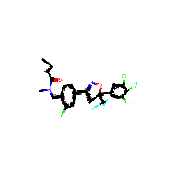 CCCC(=O)N(C)Cc1ccc(C2=NOC(c3cc(Cl)c(Cl)c(Cl)c3)(C(F)(F)F)C2)cc1Cl